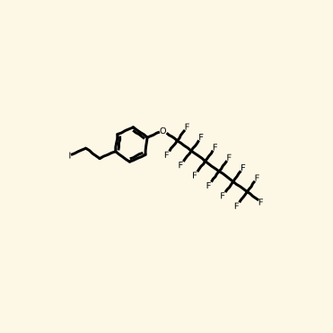 FC(F)(F)C(F)(F)C(F)(F)C(F)(F)C(F)(F)C(F)(F)Oc1ccc(CCI)cc1